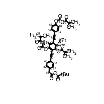 C=C(C)C(=O)OC(=O)Oc1ccc(C#Cc2c(CCC)c(OC(=O)OC(=O)C(=C)C)c(C#Cc3ccc(CC(=O)OC(=O)C(C)(C)C)cc3)c(OC(=O)C(=C)C)c2OCCC)cc1